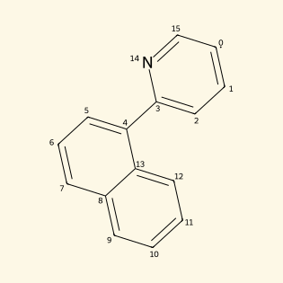 [c]1ccc(-c2cccc3ccccc23)nc1